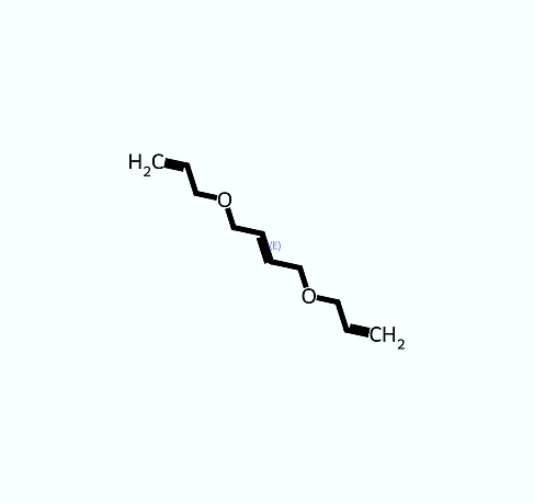 C=CCOC/C=C/COCC=C